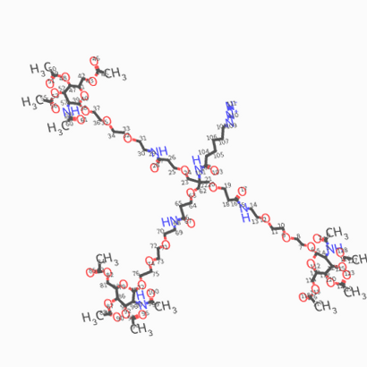 CC(=O)NC1C(OCCOCCOCCNC(=O)CCOCC(COCCC(=O)NCCOCCOCCOC2OC(COC(C)=O)C(OC(C)=O)C(OC(C)=O)C2NC(C)=O)(COCCC(=O)NCCOCCOCCOC2OC(COC(C)=O)C(OC(C)=O)C(OC(C)=O)C2NC(C)=O)NC(=O)CCCCCN=[N+]=[N-])OC(COC(C)=O)C(OC(C)=O)C1OC(C)=O